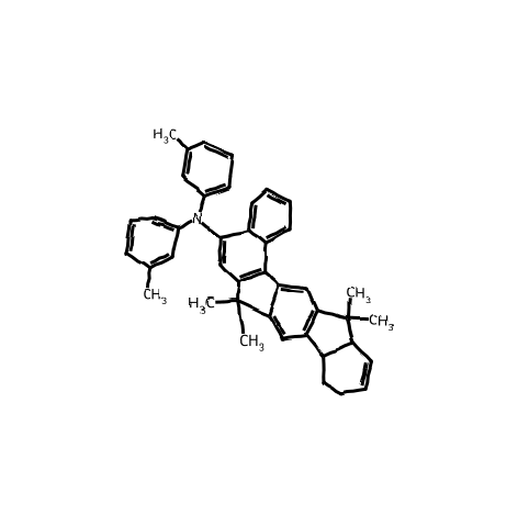 Cc1cccc(N(c2cccc(C)c2)c2cc3c(c4ccccc24)-c2cc4c(cc2C3(C)C)C2CCC=CC2C4(C)C)c1